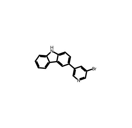 Brc1cncc(-c2ccc3[nH]c4ccccc4c3c2)c1